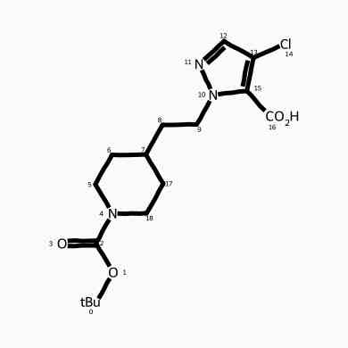 CC(C)(C)OC(=O)N1CCC(CCn2ncc(Cl)c2C(=O)O)CC1